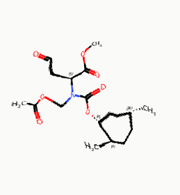 COC(=O)[C@H](CC=O)N(COC(C)=O)C(=O)O[C@@H]1C[C@H](C)CC[C@H]1C